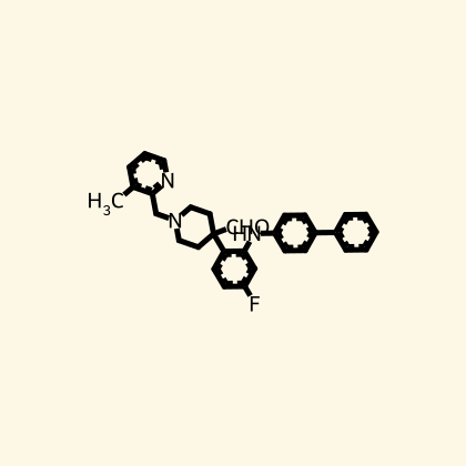 Cc1cccnc1CN1CCC(C=O)(c2ccc(F)cc2Nc2ccc(-c3ccccc3)cc2)CC1